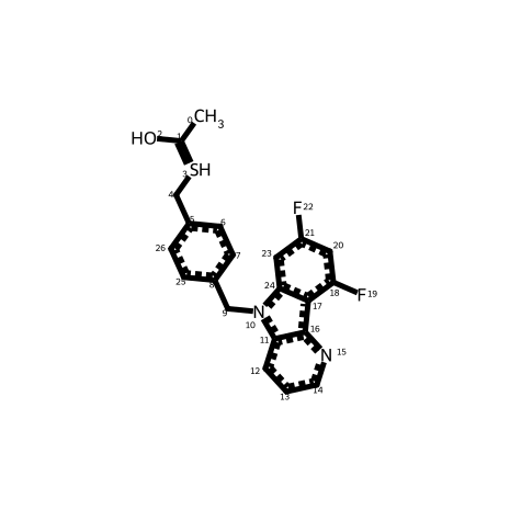 CC(O)=[SH]Cc1ccc(Cn2c3cccnc3c3c(F)cc(F)cc32)cc1